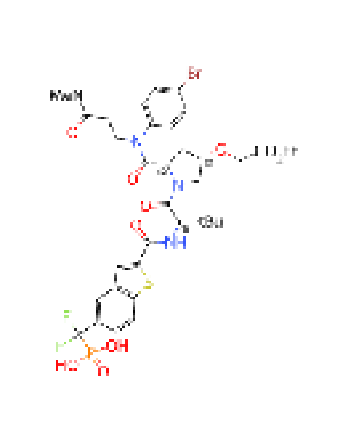 CCOC(=O)CO[C@H]1C[C@@H](C(=O)N(CCC(=O)NC)c2ccc(Br)cc2)N(C(=O)[C@@H](NC(=O)c2cc3cc(C(F)(F)P(=O)(O)O)ccc3s2)C(C)(C)C)C1